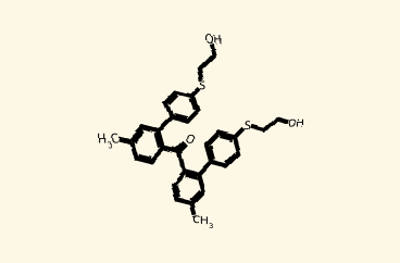 Cc1ccc(C(=O)c2ccc(C)cc2-c2ccc(SCCO)cc2)c(-c2ccc(SCCO)cc2)c1